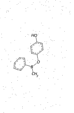 CB(Oc1ccc(O)cc1)c1ccccc1